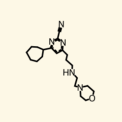 N#Cc1nc(CCCNCCN2CCOCC2)cc(C2CCCCCC2)n1